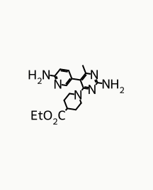 CCOC(=O)C1CCN(c2nc(N)nc(C)c2-c2ccc(N)nc2)CC1